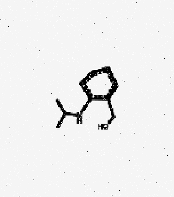 CC(C)Nc1ccccc1CO